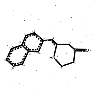 O=C1CCNC(=Cc2ccc3ccccc3c2)C1